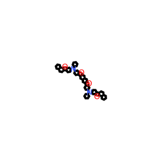 c1ccc(N(c2ccc3c(c2)oc2cc4cc5oc6cc(N(c7ccccc7)c7ccc8c(c7)oc7c9ccccc9ccc87)ccc6c5cc4cc23)c2ccc3c(c2)oc2c4ccccc4ccc32)cc1